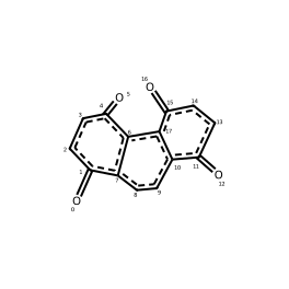 O=c1ccc(=O)c2c1ccc1c(=O)ccc(=O)c12